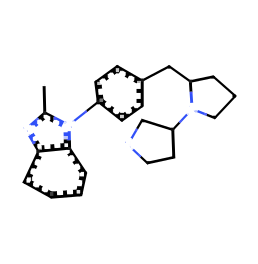 Cc1nc2ccccc2n1-c1ccc(CC2CCCN2C2CCNC2)cc1